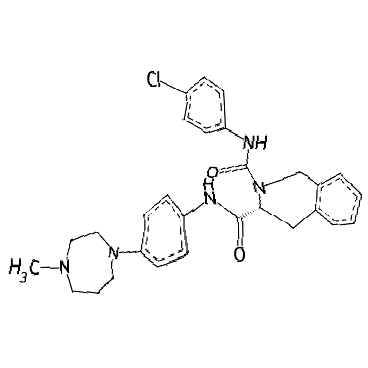 CN1CCCN(c2ccc(NC(=O)[C@H]3Cc4ccccc4CN3C(=O)Nc3ccc(Cl)cc3)cc2)CC1